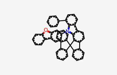 c1ccc(-c2cccc3c4ccc5c(c4n(-c4ccc6c(c4)oc4ccccc46)c23)C2(c3ccccc3-c3ccccc32)c2ccccc2-5)cc1